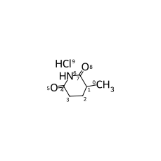 CC1CCC(=O)NC1=O.Cl